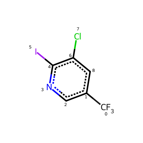 FC(F)(F)c1cnc(I)c(Cl)c1